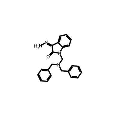 NN=C1C(=O)N(CN(Cc2ccccc2)Cc2ccccc2)c2ccccc21